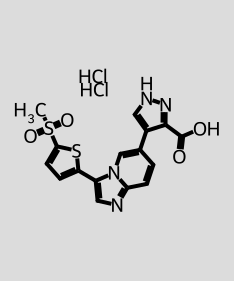 CS(=O)(=O)c1ccc(-c2cnc3ccc(-c4c[nH]nc4C(=O)O)cn23)s1.Cl.Cl